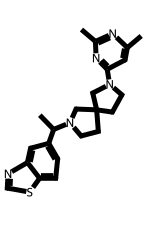 Cc1cc(N2CCC3(CCN(C(C)c4ccc5scnc5c4)C3)C2)nc(C)n1